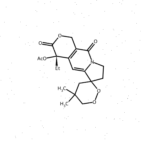 CC[C@@]1(OC(C)=O)C(=O)OCc2c1cc1n(c2=O)CCC12CC(C)(C)COO2